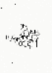 CCc1c(F)cccc1Nc1c(-c2ccncc2OC[C@H]2COCCN2C)[nH]c2c1C(=O)NCC21CC1